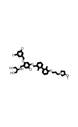 Cc1c(COc2cc(OCc3cc(Cl)cc(Cl)c3)c(CNC(CO)CO)cc2Cl)cccc1-c1cccc(OCCCN2CC[C@@H](OI)C2)c1C